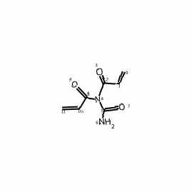 C=CC(=O)N(C(N)=O)C(=O)C=C